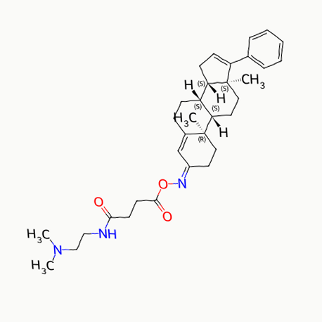 CN(C)CCNC(=O)CCC(=O)ON=C1C=C2CC[C@H]3[C@H](CC[C@]4(C)C(c5ccccc5)=CC[C@@H]34)[C@@]2(C)CC1